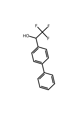 OC(c1ccc(-c2ccccc2)cc1)C(F)(F)F